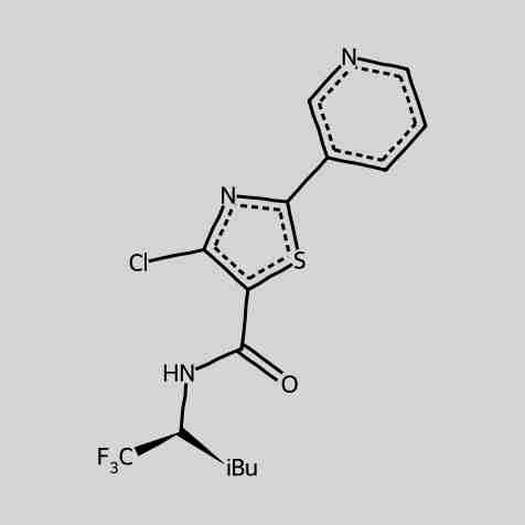 CC[C@H](C)[C@H](NC(=O)c1sc(-c2cccnc2)nc1Cl)C(F)(F)F